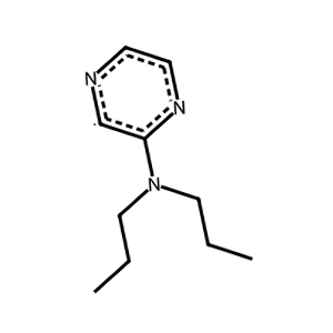 CCCN(CCC)c1[c]nccn1